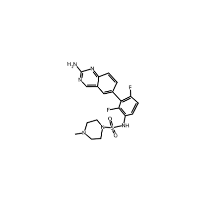 CN1CCN(S(=O)(=O)Nc2ccc(F)c(-c3ccc4nc(N)ncc4c3)c2F)CC1